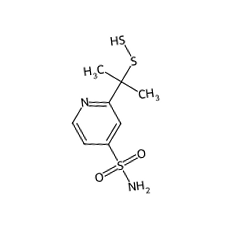 CC(C)(SS)c1cc(S(N)(=O)=O)ccn1